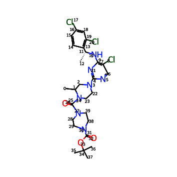 CC1CN(c2ncc(Cl)c(N[C@H](C)c3ccc(Cl)cc3Cl)n2)CCN1C(=O)N1CCN(C(=O)OC(C)(C)C)CC1